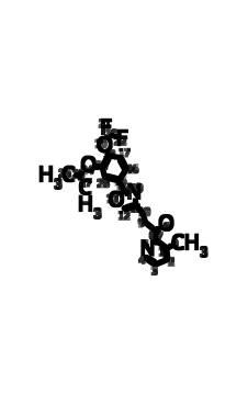 Cc1cccnc1C(=O)CCc1coc(-c2ccc(OC(F)F)c(OC(C)C)c2)n1